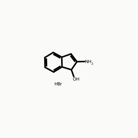 Br.NC1=Cc2ccccc2C1O